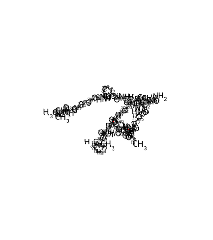 CCCC1O[C@@H]2CC3[C@@H]4CCC5=CC(=O)C=C[C@]5(C)C4[C@@H](O)C[C@]3(C)[C@]2(C(=O)CNC(=O)OCc2ccc(NC(=O)[C@H](CCCNC(N)=O)NC(=O)[C@@H](NC(=O)[C@@H](CCCCNC(=O)COC3CCCCC/C(NCCOCCOCCOCCOCCC(=O)NCC[N+](C)(C)C)=C\3N=N)NC(=O)CCOCCOCCOCCOCCNC(=O)OC[C@@H]3[C@]4(C)CCC#CCC[C@]34C)C(C)C)cc2)O1